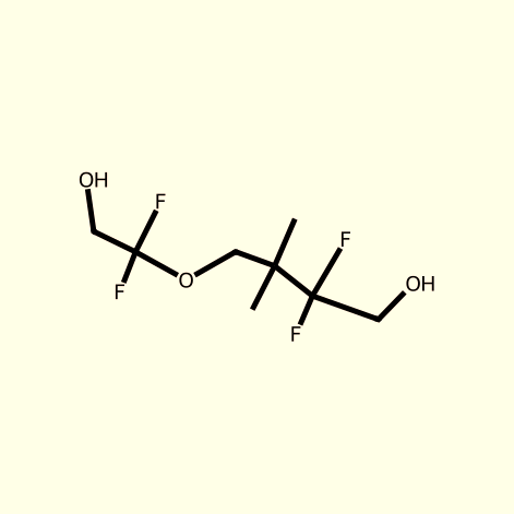 CC(C)(COC(F)(F)CO)C(F)(F)CO